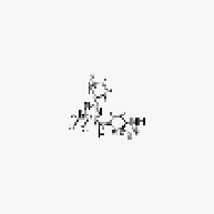 Cc1cccc(-c2nc(Nc3ccc4[nH]ncc4c3)c3cccn3n2)n1